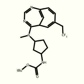 CN(C1=NC=NC2=CC1C=C(CC(F)(F)F)C=C2)C1CCC(NC(=O)OC(C)(C)C)C1